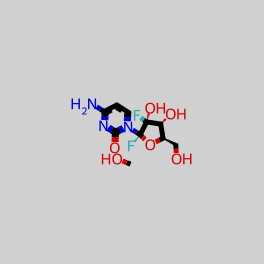 CO.Nc1ccn([C@]2(F)O[C@H](CO)[C@@H](O)[C@]2(O)F)c(=O)n1